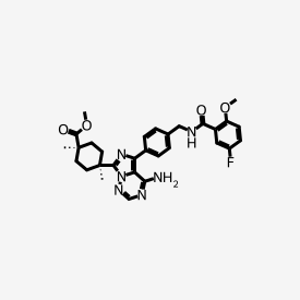 COc1ccc(F)cc1C(=O)NCc1ccc(-c2nc([C@]3(C)CC[C@](C)(C(=O)OC)CC3)n3ncnc(N)c23)cc1